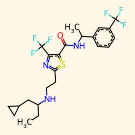 CCC(CC1CC1)NCCc1nc(C(F)(F)F)c(C(=O)NC(C)c2cccc(C(F)(F)F)c2)s1